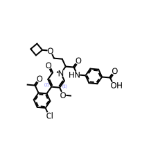 COC(=C/N(C)C(CCOC1CCC1)C(=O)Nc1ccc(C(=O)O)cc1)/C(=C\C=O)c1cc(Cl)ccc1C(C)=O